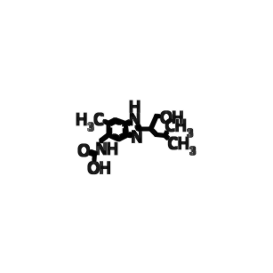 Cc1cc2[nH]c(C(CO)CC(C)C)nc2cc1CNC(=O)O